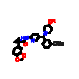 COc1cccc(C(c2ccc(NC(=O)C3(c4ccc5c(c4)OCO5)CC3)nc2)N2CCC(O)CC2)c1